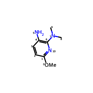 COc1ccc(N)c(N(C)C)n1